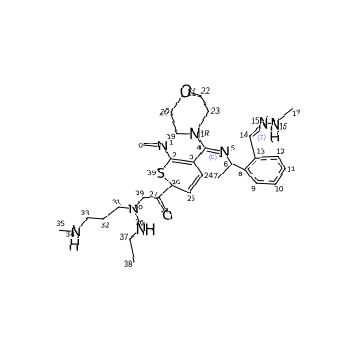 C=NC1=C(/C(=N\C(C)c2ccccc2/C=N\NC)N2CCOCC2)C=CC(C(=O)CN(CCCNC)NCC)S1